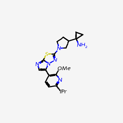 COc1nc(C(C)C)ccc1-c1cnc2sc(N3CCC(C4(N)CC4)C3)nn12